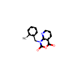 N#Cc1ccccc1Cn1c(=O)oc(=O)c2cccnc21